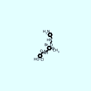 COc1cc(/C=N/NC(=O)c2ccc(O)c(Cl)c2)cc(Br)c1OCCNCc1ccc(N)cc1